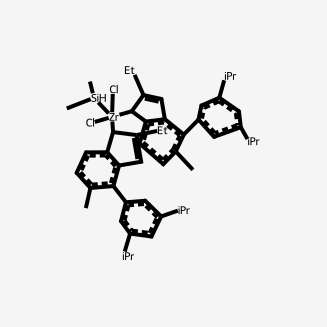 CCC1=Cc2c(ccc(C)c2-c2cc(C(C)C)cc(C(C)C)c2)[CH]1[Zr]([Cl])([Cl])([CH]1C(CC)=Cc2c1ccc(C)c2-c1cc(C(C)C)cc(C(C)C)c1)[SiH](C)C